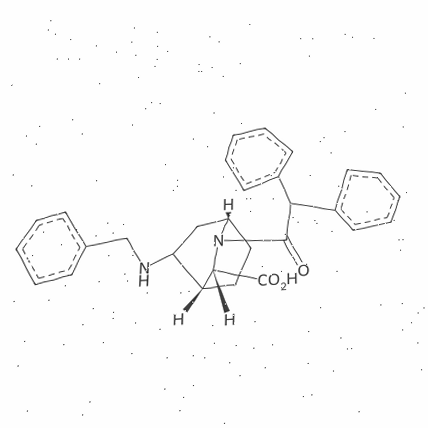 O=C(O)[C@@H]1[C@@H]2CC[C@@H](CC2NCc2ccccc2)N1C(=O)C(c1ccccc1)c1ccccc1